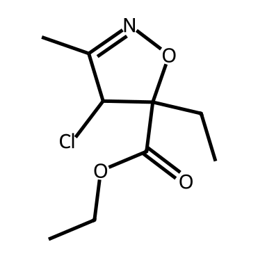 CCOC(=O)C1(CC)ON=C(C)C1Cl